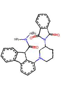 CCCCN(CCC)C(=O)C1c2ccccc2-c2cccc(N3CCCC(N4C(=O)c5ccccc5C4=O)C3)c21